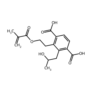 C=C(C)C(=O)OCCc1c(C(=O)O)ccc(C(=O)O)c1CC(C)O